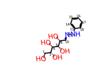 OC[C@@H](O)[C@@H](O)[C@H](O)[C@@H](O)C=NNc1ccccc1